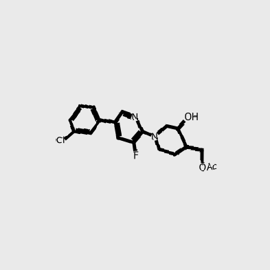 CC(=O)OCC1CCN(c2ncc(-c3cccc(Cl)c3)cc2F)CC1O